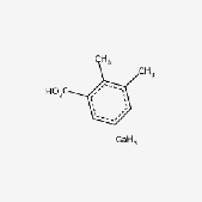 Cc1cccc(C(=O)O)c1C.[GaH3]